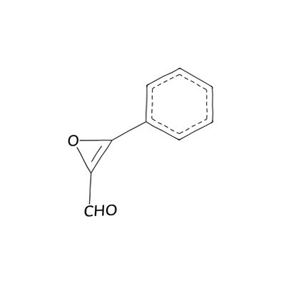 O=CC1=C(c2ccccc2)O1